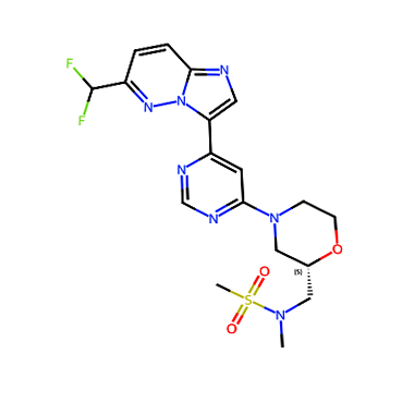 CN(C[C@@H]1CN(c2cc(-c3cnc4ccc(C(F)F)nn34)ncn2)CCO1)S(C)(=O)=O